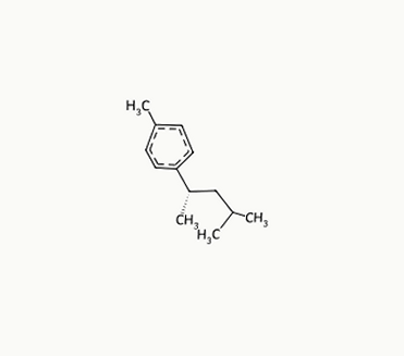 Cc1ccc([C@@H](C)CC(C)C)cc1